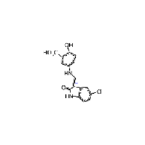 O=C1Nc2ccc(Cl)cc2/C1=C/Nc1ccc(O)c(C(=O)O)c1